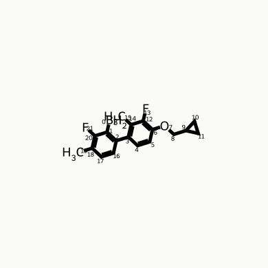 Bc1c(-c2ccc(OCC3CC3)c(F)c2C)ccc(C)c1F